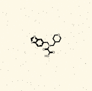 O=C(O)C(=O)N(Cc1ccc2scnc2c1)CC1CCOCC1